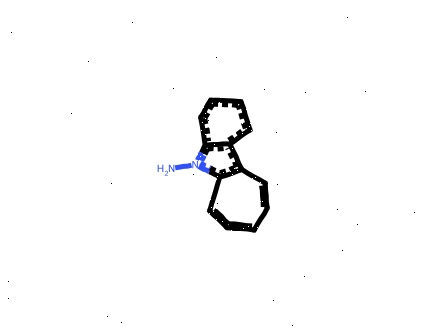 Nn1c2c(c3ccccc31)C=CC=C=C2